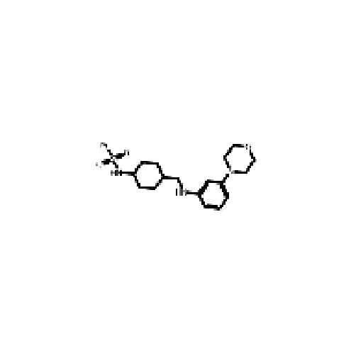 CC(C)S(=O)(=O)NC1CCC(CNc2cccc(N3CCOCC3)c2)CC1